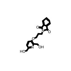 O=C1c2ccccc2C(=O)N1CCCOc1ccc(CO)nc1CO